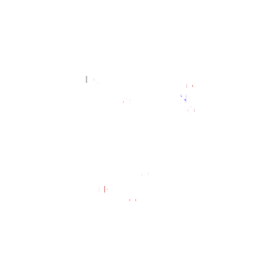 COCOc1ccc([N+](=O)[O-])c(Oc2ccc(OCC(=O)O)cc2)c1